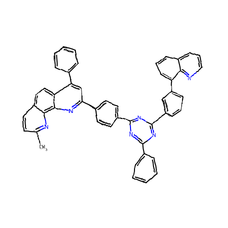 Cc1ccc2ccc3c(-c4ccccc4)cc(-c4ccc(-c5nc(-c6ccccc6)nc(-c6cccc(-c7cccc8cccnc78)c6)n5)cc4)nc3c2n1